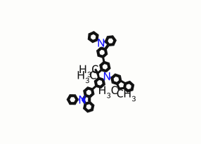 CC1(C)c2ccccc2-c2ccc(N3c4ccc(-c5ccc6c(c5)c5ccccc5n6-c5ccccc5)cc4C(C)(C)c4cc(-c5ccc6c(c5)c5ccccc5n6-c5ccccc5)ccc43)cc21